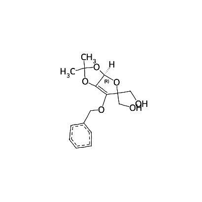 CC1(C)OC2=C(OCc3ccccc3)C(CO)(CO)O[C@@H]2O1